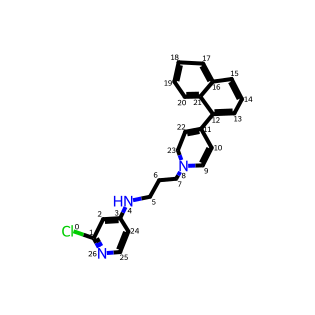 Clc1cc(NCCCN2C=CC(c3cccc4ccccc34)=CC2)ccn1